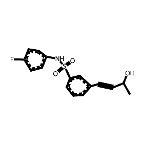 CC(O)C#Cc1cccc(S(=O)(=O)Nc2ccc(F)cc2)c1